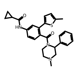 Cc1ccc(-c2cc(NC(=O)C3CC3)ccc2C(=O)N2CCN(C)CC2c2ccccc2)s1